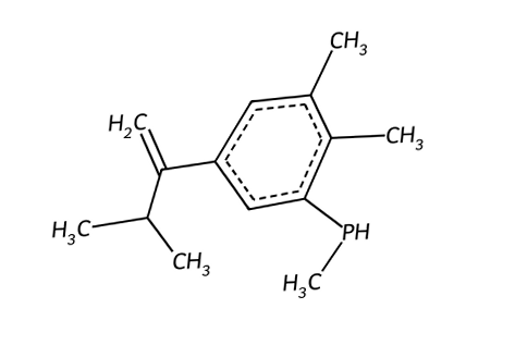 C=C(c1cc(C)c(C)c(PC)c1)C(C)C